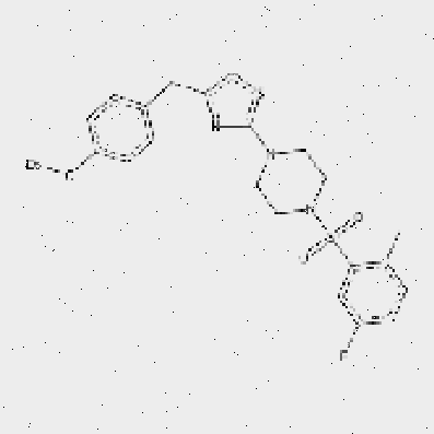 CCOc1ccc(Cc2csc(N3CCN(S(=O)(=O)c4cc(F)ccc4C)CC3)n2)cc1